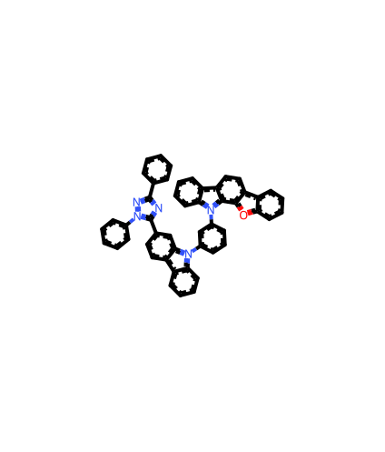 c1ccc(-c2nc(-c3ccc4c5ccccc5n(-c5cccc(-n6c7ccccc7c7ccc8c9ccccc9oc8c76)c5)c4c3)n(-c3ccccc3)n2)cc1